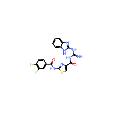 N=C(NC(=O)c1csc(NC(=O)c2ccc(F)c(F)c2)n1)Nc1nc2ccccc2[nH]1